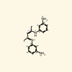 CC(/C=C(/C)Nc1cccc(N)c1)=Nc1cccc(N)c1